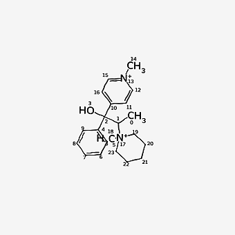 CC(C(O)(c1ccccc1)c1cc[n+](C)cc1)[N+]1(C)CCCCC1